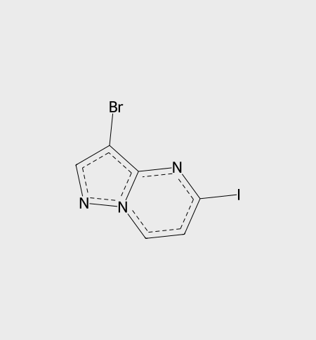 Brc1cnn2ccc(I)nc12